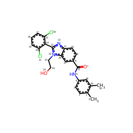 Cc1ccc(NC(=O)c2ccc3nc(-c4c(Cl)cccc4Cl)n(CCO)c3c2)cc1C